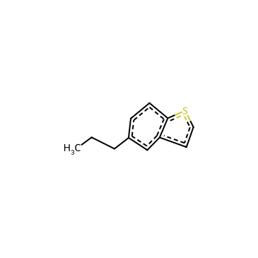 CCCc1ccc2sccc2c1